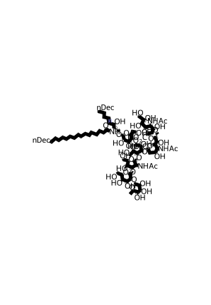 CCCCCCCCCCCCC/C=C/[C@@H](O)[C@H](CO[C@@H]1OC(CO)[C@@H](O[C@@H]2OC(CO)[C@H](O[C@@H]3OC(CO)[C@H](O)[C@H](O[C@@H]4OC(CO)[C@H](O)[C@H](O)C4O[C@H]4OC(C)[C@@H](O)C(O)[C@@H]4O)C3NC(C)=O)[C@H](O[C@]3(C(=O)O)CC(O)[C@@H](NC(C)=O)C([C@H](O)[C@@H](CO)O[C@]4(C(=O)O)CC(O)[C@@H](NC(C)=O)C([C@H](O)[C@H](O)CO)O4)O3)C2O)[C@H](O)C1O)NC(=O)CCCCCCCCCCCCCCCCCCCCCCCCC